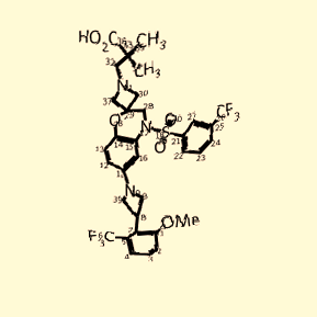 COc1cccc(C(F)(F)F)c1C1CN(c2ccc3c(c2)N(S(=O)(=O)c2cccc(C(F)(F)F)c2)CC2(CN(CC(C)(C)C(=O)O)C2)O3)C1